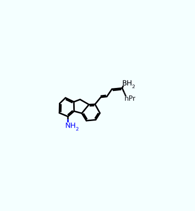 B/C(=C/C=Cc1cccc2c1Cc1cccc(N)c1-2)CCC